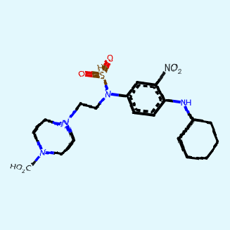 O=C(O)N1CCN(CCN(c2ccc(NC3CCCCC3)c([N+](=O)[O-])c2)[SH](=O)=O)CC1